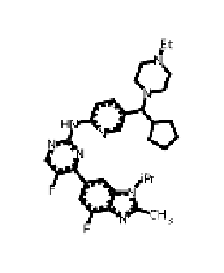 CCN1CCN(C(c2ccc(Nc3ncc(F)c(-c4cc(F)c5nc(C)n(C(C)C)c5c4)n3)nc2)C2CCCC2)CC1